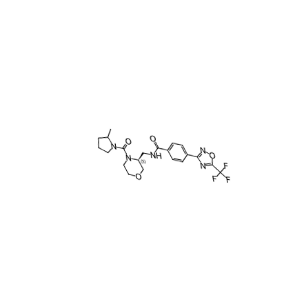 CC1CCCN1C(=O)N1CCOC[C@@H]1CNC(=O)c1ccc(-c2noc(C(F)(F)F)n2)cc1